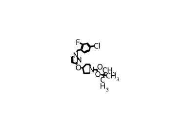 CC(C)(C)OC(=O)N1CCC(Oc2ccn(Cc3ccc(Cl)cc3F)n2)CC1